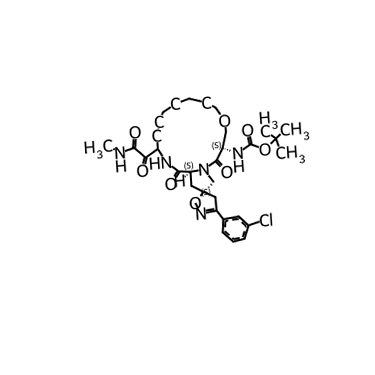 CNC(=O)C(=O)C1CCCCCCCOC[C@H](NC(=O)OC(C)(C)C)C(=O)N2C[C@@]3(CC(c4cccc(Cl)c4)=NO3)C[C@H]2C(=O)N1